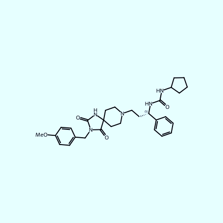 COc1ccc(CN2C(=O)NC3(CCN(CC[C@H](NC(=O)NC4CCCC4)c4ccccc4)CC3)C2=O)cc1